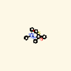 c1ccc(-c2nc(-c3ccccc3)nc(-n3c4ccccc4c4c5oc6ccccc6c5c5sc6ccccc6c5c43)n2)cc1